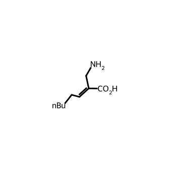 CCCCCC=C(CN)C(=O)O